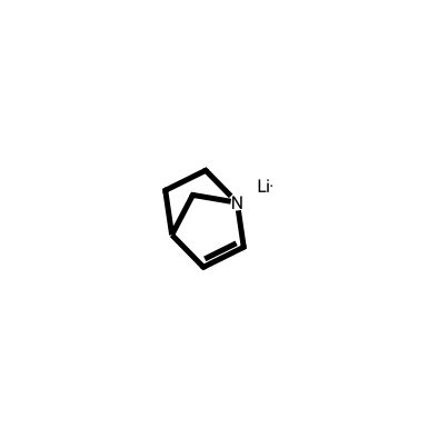 C1=CN2CCC1C2.[Li]